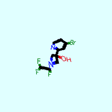 OC1(c2cc(Br)ccn2)CN(C(F)C(F)F)C1